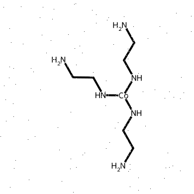 NCC[NH][Co]([NH]CCN)[NH]CCN